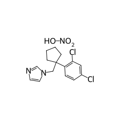 Clc1ccc(C2(Cn3ccnc3)CCCC2)c(Cl)c1.O=[N+]([O-])O